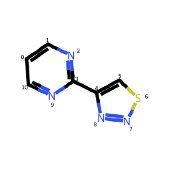 c1cnc(-c2csnn2)nc1